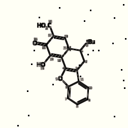 CC(C)(C)C1Cc2c(oc3ccccc23)-c2c(O)c(=O)c(C(=O)O)cn21